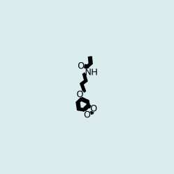 C=CC(=O)NCCCCOc1ccc2c(c1)OCO2